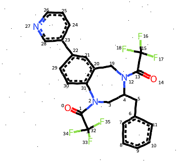 O=C(N1CC(Cc2ccccc2)N(C(=O)C(F)(F)F)Cc2cc(-c3cccnc3)ccc21)C(F)(F)F